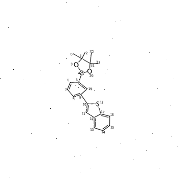 CC1(C)OB(c2cccc(-c3cc4ccccc4s3)c2)OC1(C)C